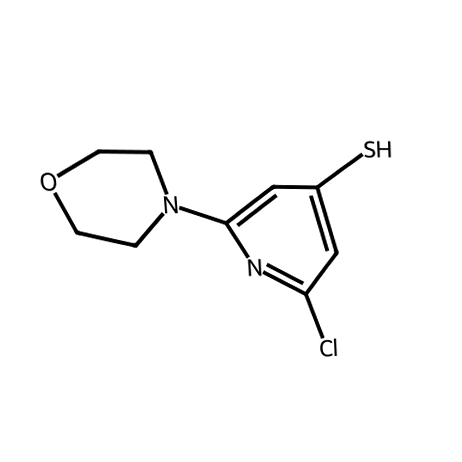 Sc1cc(Cl)nc(N2CCOCC2)c1